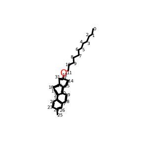 CCCCCCCCCCCCOc1ccc2c(ccc3c4ccc(C)cc4ccc23)c1